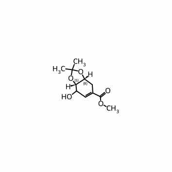 COC(=O)C1=CC(O)[C@@H]2OC(C)(C)O[C@@H]2C1